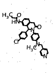 CCC(=O)Nc1ccc2c(c1)C(c1ccc(Cl)cc1)N(c1ccc(N(C)Cc3ccncc3)cc1)C(=O)C2